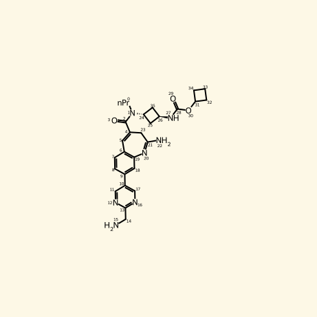 CCCN(C(=O)C1=Cc2ccc(-c3cnc(CN)nc3)cc2N=C(N)C1)[C@H]1C[C@H](NC(=O)OC2CCC2)C1